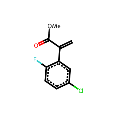 C=C(C(=O)OC)c1cc(Cl)ccc1F